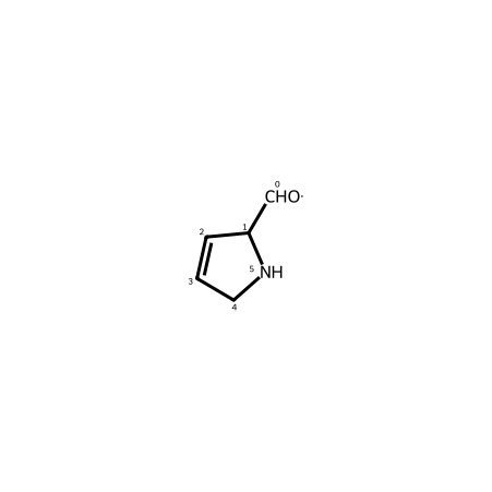 O=[C]C1C=CCN1